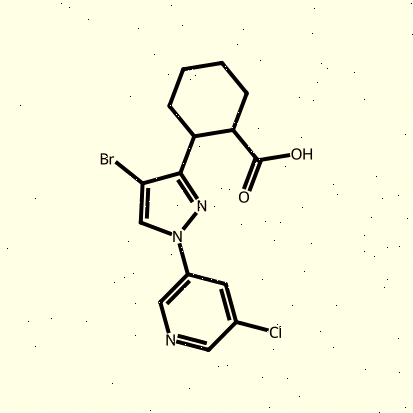 O=C(O)C1CCCCC1c1nn(-c2cncc(Cl)c2)cc1Br